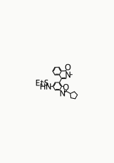 CCSNc1cc(-c2cn(C)c(=O)c3ccccc23)c2oc(C3CCCC3)nc2c1